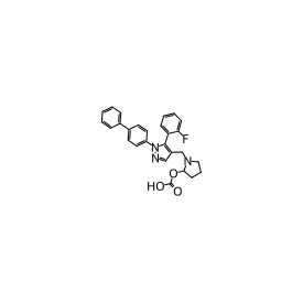 O=C(O)OC1CCCN1Cc1cnn(-c2ccc(-c3ccccc3)cc2)c1-c1ccccc1F